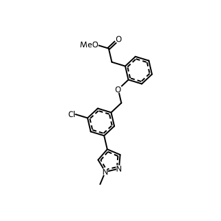 COC(=O)Cc1ccccc1OCc1cc(Cl)cc(-c2cnn(C)c2)c1